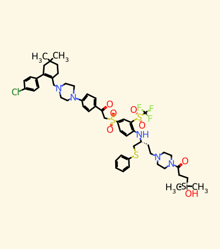 CC1(C)CCC(CN2CCN(c3ccc(C(=O)CS(=O)(=O)c4ccc(N[C@H](CCN5CCN(C(=O)CC[Si](C)(C)O)CC5)CSc5ccccc5)c(S(=O)(=O)C(F)(F)F)c4)cc3)CC2)=C(c2ccc(Cl)cc2)C1